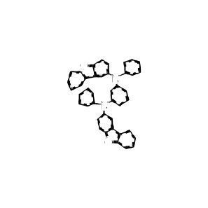 c1ccc(N(c2cccc(N(c3ccccc3)c3ccc4oc5ccccc5c4c3)c2)c2ccc3oc4ccccc4c3c2)cc1